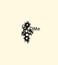 COc1nccc(-c2c(-c3ccc(F)cc3)ncn2[C@H](CO)Cc2ccccc2)n1